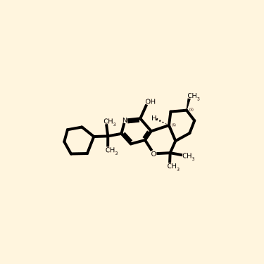 C[C@H]1CCC2[C@H](C1)c1c(cc(C(C)(C)C3CCCCC3)nc1O)OC2(C)C